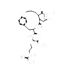 COC(=O)[C@H](CCCNC(=N)N)NC(=O)C1Cc2ccc(cc2)OCCCC(C(=O)NO)[C@@H](CC(C)C)C(=O)N1